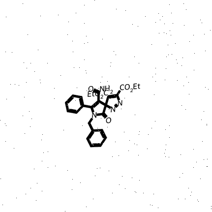 CCOC(=O)C1=C(C(=O)OCC)C2(N=N1)C(=O)N(Cc1ccccc1)C(c1ccccc1)=C2C(N)=O